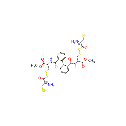 COC(=O)C(CSSC(=O)[C@@H](N)CS)NC(=O)c1ccccc1-c1ccccc1C(=O)NC(CSSC(=O)[C@@H](N)CS)C(=O)OC